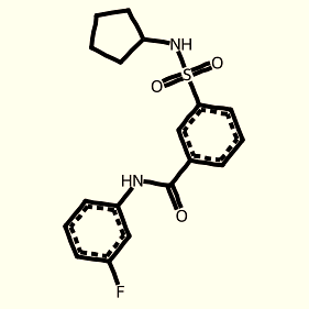 O=C(Nc1cccc(F)c1)c1cccc(S(=O)(=O)NC2CCCC2)c1